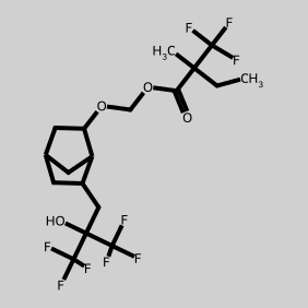 CCC(C)(C(=O)OCOC1CC2CC(CC(O)(C(F)(F)F)C(F)(F)F)C1C2)C(F)(F)F